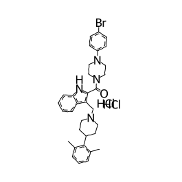 Cc1cccc(C)c1C1CCN(Cc2c(C(=O)N3CCN(c4ccc(Br)cc4)CC3)[nH]c3ccccc23)CC1.Cl.Cl